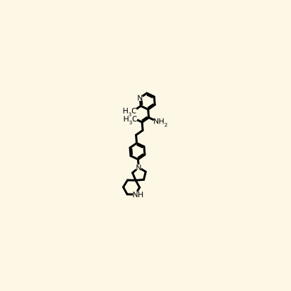 C/C(CCc1ccc(N2CCC3(CCCNC3)C2)cc1)=C(/N)c1cccnc1C